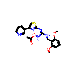 COc1cccc(OC)c1CNC(=Nc1nc(-c2cccnc2)cs1)NOC(C)=O